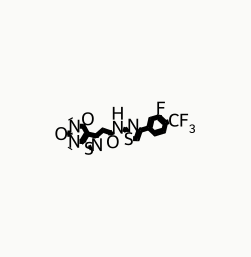 Cn1c(=O)c2c(CC(=O)Nc3nc(-c4ccc(C(F)(F)F)c(F)c4)cs3)nsc2n(C)c1=O